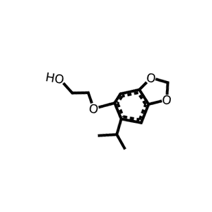 CC(C)c1cc2c(cc1OCCO)OCO2